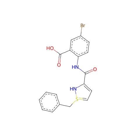 O=C(Nc1ccc(Br)cc1C(=O)O)C1=CC=S(Cc2ccccc2)N1